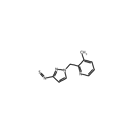 Cc1cccnc1Cn1ccc(N=S)n1